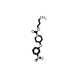 CCCCOC(=O)N1CCC(Oc2cccc([N+](=O)[O-])c2)CC1